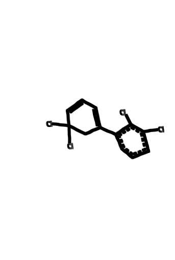 Clc1cccc(C2=CC=CC(Cl)(Cl)C2)c1Cl